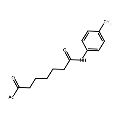 CC(=O)C(=O)CCCCCC(=O)Nc1ccc(C)cc1